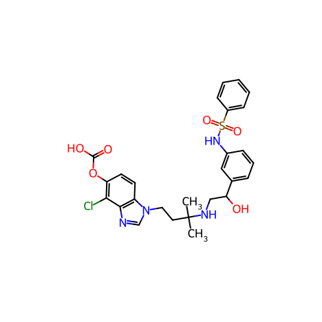 CC(C)(CCn1cnc2c(Cl)c(OC(=O)O)ccc21)NCC(O)c1cccc(NS(=O)(=O)c2ccccc2)c1